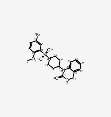 COc1ccc(Br)cc1S(=O)(=O)N1CCC(N2C(=O)OCc3ccccc32)CC1